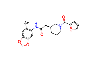 CC(=O)c1cc2c(cc1NC(=O)C[C@@H]1CCCN(C(=O)c3ccco3)C1)OCO2